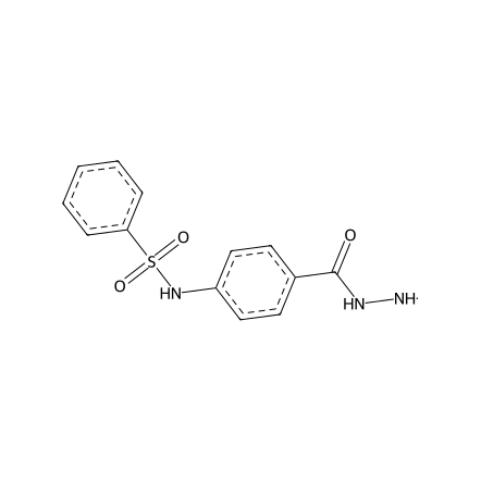 [NH]NC(=O)c1ccc(NS(=O)(=O)c2ccccc2)cc1